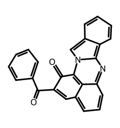 O=C(c1ccccc1)c1cc2cccc3nc4c5ccccc5cn4c(c1=O)c23